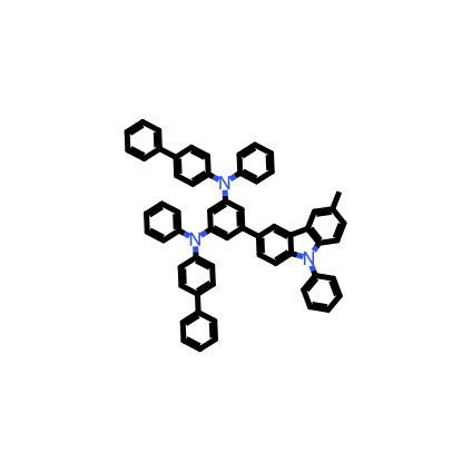 Cc1ccc2c(c1)c1cc(-c3cc(N(c4ccccc4)c4ccc(-c5ccccc5)cc4)cc(N(c4ccccc4)c4ccc(-c5ccccc5)cc4)c3)ccc1n2-c1ccccc1